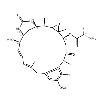 CN[C@@H](C)C(=O)O[C@H]1CC(=O)N(C)c2cc(cc(OC)c2Cl)C/C(C)=C/C=C/[C@@H](OC)[C@@]2(O)C[C@H](OC(=O)N2)[C@@H](C)C2OC21C